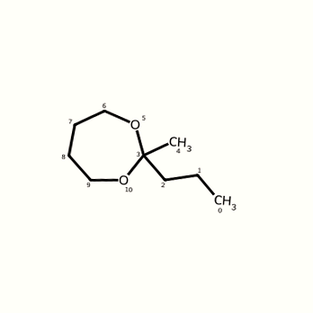 CCCC1(C)OCCCCO1